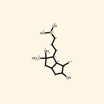 NC1(C(=O)O)CC2CC(O)C(F)C2C1CCCB(O)O